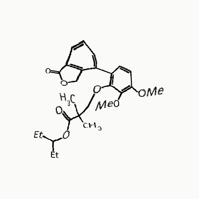 CCC(CC)OC(=O)C(C)(C)COc1c(-c2cccc3c2COC3=O)ccc(OC)c1OC